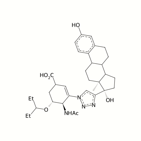 CCC(CC)O[C@@H]1CC(C(=O)O)C=C(n2cc([C@]3(O)CCC4C5CCc6cc(O)ccc6C5CC[C@@]43C)nn2)[C@H]1NC(C)=O